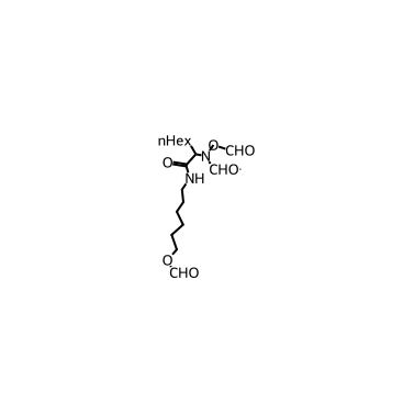 CCCCCCC(C(=O)NCCCCCCOC=O)N([C]=O)OC=O